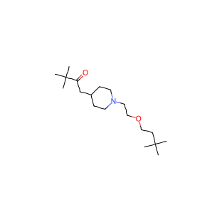 CC(C)(C)CCOCCN1CCC(CC(=O)C(C)(C)C)CC1